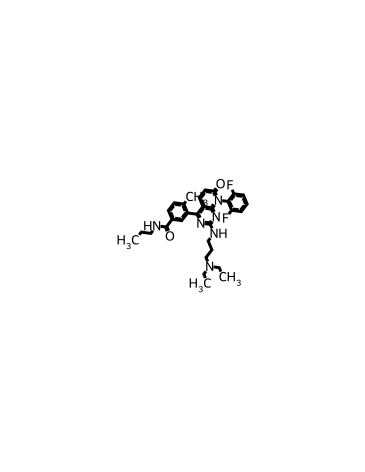 CCCNC(=O)c1ccc(C)c(-c2nc(NCCCN(CC)CC)nc3c2ccc(=O)n3-c2c(F)cccc2F)c1